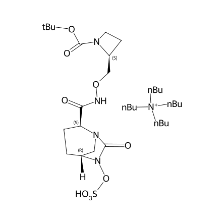 CC(C)(C)OC(=O)N1CC[C@H]1CONC(=O)[C@@H]1CC[C@@H]2CN1C(=O)N2OS(=O)(=O)O.CCCC[N+](CCCC)(CCCC)CCCC